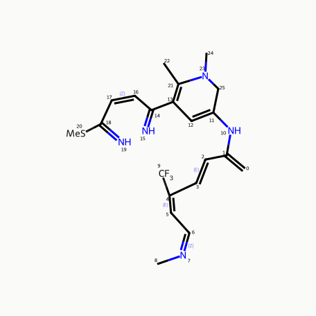 C=C(/C=C/C(=C\C=N/C)C(F)(F)F)NC1=CC(C(=N)/C=C\C(=N)SC)=C(C)N(C)C1